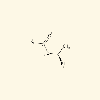 CC[C@H](C)OC(=O)C(C)C